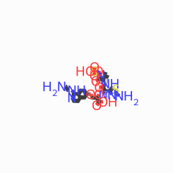 CC1(C)[C@H](NC(=O)/C(=N\OC(COc2ccc3c(NCCN)nccc3c2)C(=O)O)c2csc(N)n2)C(=O)N1OS(=O)(=O)O